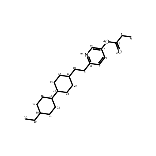 CCC(=O)Oc1ccc(CCC2CCC(C3CCC(CC)CC3)CC2)nc1